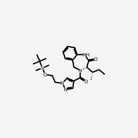 CC[C@H](C)[C@H]1C(=O)Nc2ccccc2CN1C(=O)c1cnn(CCO[Si](C)(C)C(C)(C)C)c1